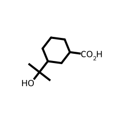 CC(C)(O)C1CCCC(C(=O)O)C1